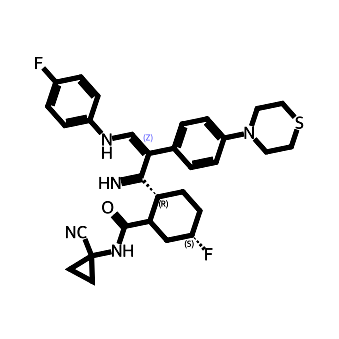 N#CC1(NC(=O)C2C[C@@H](F)CC[C@H]2C(=N)/C(=C\Nc2ccc(F)cc2)c2ccc(N3CCSCC3)cc2)CC1